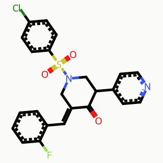 O=C1C(=Cc2ccccc2F)CN(S(=O)(=O)c2ccc(Cl)cc2)CC1c1ccncc1